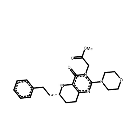 COC(=O)Cn1c(N2CCOCC2)nc2c(c1=O)N[C@@H](CCc1ccccc1)CC2